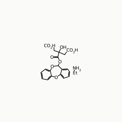 CCN.O=C(O)CC(O)(CC(=O)O)C(=O)OC1Oc2ccccc2Oc2ccccc21